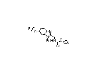 CCn1c(CNC(=O)OC(C)(C)C)nc2ccc(OC(F)(F)F)cc21